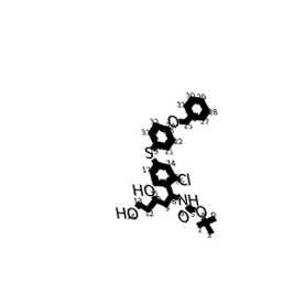 CC(C)(C)OC(=O)NC(CC(O)CCO)c1ccc(Sc2ccc(OCc3ccccc3)cc2)cc1Cl